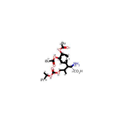 CCC(C)C(=O)Oc1ccc(C(C(C)COC(=O)OC(C)C(C)C)[C@H](N)C(=O)O)cc1OC(=O)C(C)CC